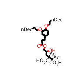 CCCCCCCCCCCCOc1ccc(C=CC(=O)OCC(O)CC(C(C)=O)(C(=O)O)C(C(C)=O)C(=O)O)cc1OCCCCCCCCCCCC